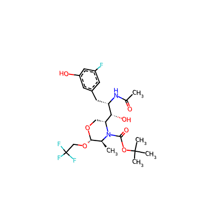 CC(=O)N[C@@H](Cc1cc(O)cc(F)c1)[C@H](O)[C@H]1CO[C@@H](OCC(F)(F)F)[C@H](C)N1C(=O)OC(C)(C)C